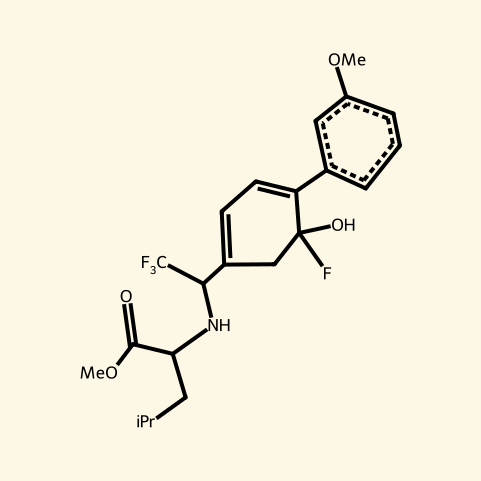 COC(=O)C(CC(C)C)NC(C1=CC=C(c2cccc(OC)c2)C(O)(F)C1)C(F)(F)F